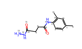 Cc1ccc(NC(=O)CCC(=O)NN)c(C)c1